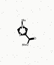 COC(=O)c1c[n+](C(C)(C)C)cs1